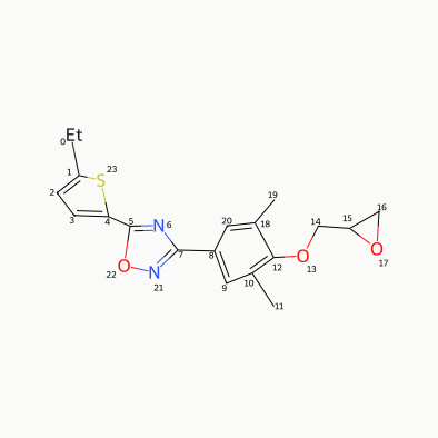 CCc1ccc(-c2nc(-c3cc(C)c(OCC4CO4)c(C)c3)no2)s1